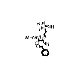 CNNC(=O)[C@H](CCCNC(=N)N)NC(=O)c1ccccc1